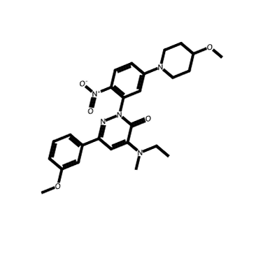 CCN(C)c1cc(-c2cccc(OC)c2)nn(-c2cc(N3CCC(OC)CC3)ccc2[N+](=O)[O-])c1=O